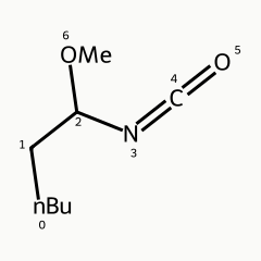 CCCCCC(N=C=O)OC